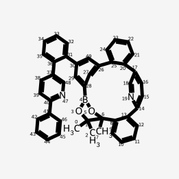 CC1(C)OB2OC1(C)c1ccccc1-c1ccc(cn1)-c1ccccc1-c1cc2cc(-c2ccccc2-c2ccc(-c3ccccc3)nc2)c1